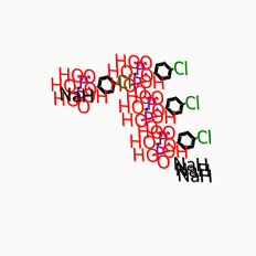 O=P(O)(O)C(O)P(=O)(O)Oc1ccc(Cl)cc1.O=P(O)(O)C(O)P(=O)(O)Oc1ccc(Cl)cc1.O=P(O)(O)C(O)P(=O)(O)Oc1ccc(Cl)cc1.O=P(O)(O)C(O)P(=O)(O)Oc1ccc(Cl)cc1.[NaH].[NaH].[NaH].[NaH]